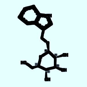 OC[C@H]1O[C@@H](OCc2c[nH]c3ccccc23)[C@H](O)[C@@H](O)[C@@H]1O